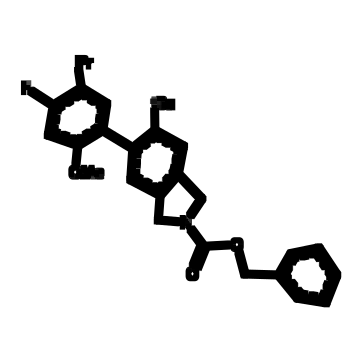 COc1cc(F)c(C(C)C)cc1-c1cc2c(cc1C(C)(C)C)CN(C(=O)OCc1ccccc1)C2